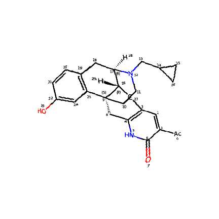 CC(=O)c1cc2c([nH]c1=O)C[C@]13CCN(CC4CC4)[C@H](Cc4ccc(O)cc41)[C@@H]3C2